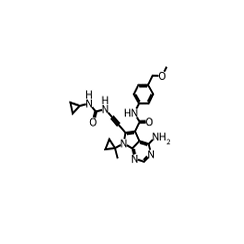 COCc1ccc(NC(=O)c2c(C#CNC(=O)NC3CC3)n(C3(C)CC3)c3ncnc(N)c23)cc1